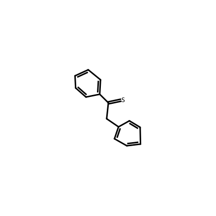 S=C(Cc1ccccc1)c1ccccc1